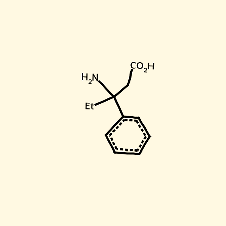 CCC(N)(CC(=O)O)c1ccccc1